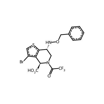 O=C(O)[C@H]1c2c(Br)csc2[C@H](NOCc2ccccc2)CN1C(=O)C(F)(F)F